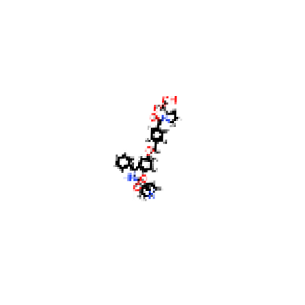 O=C(N[C@@H](c1ccccc1)c1cccc(OCc2ccc(C(=O)N3CCC[C@H]3C(=O)O)cc2)c1)O[C@H]1CN2CCC1CC2